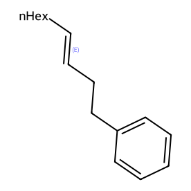 CCCCCC/C=C/CCc1ccccc1